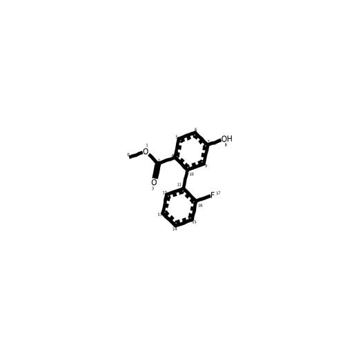 COC(=O)c1ccc(O)cc1-c1ccccc1F